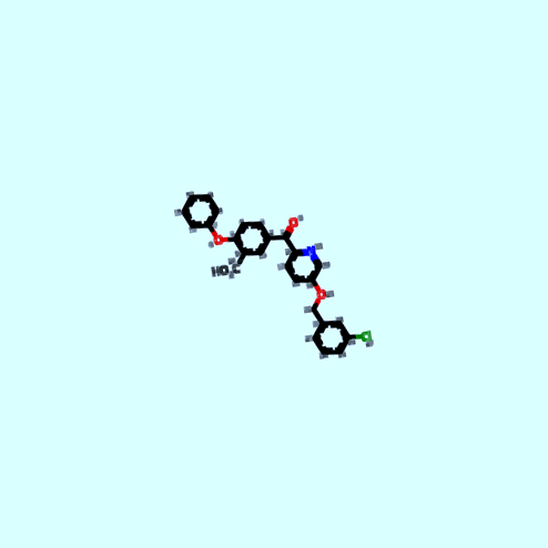 O=C(c1ccc(Oc2ccccc2)c(C(=O)O)c1)c1ccc(OCc2cccc(Cl)c2)cn1